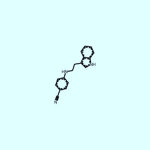 N#Cc1ccc(NCCc2c[nH]c3ccccc23)cc1